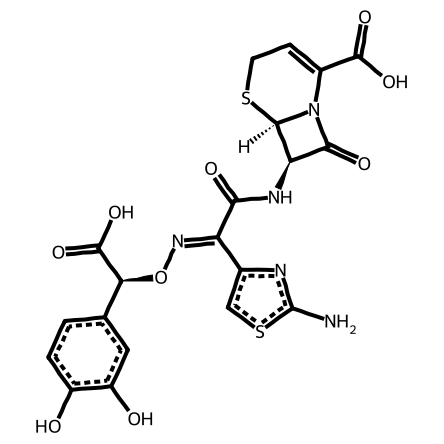 Nc1nc(/C(=N\O[C@H](C(=O)O)c2ccc(O)c(O)c2)C(=O)N[C@@H]2C(=O)N3C(C(=O)O)=CCS[C@H]23)cs1